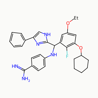 CCOc1cc(OC2CCCCC2)c(F)c(C(Nc2ccc(C(=N)N)cc2)c2nc(-c3ccccc3)c[nH]2)c1